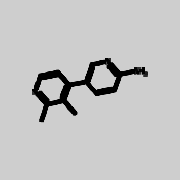 Cc1nccc(-c2ccc(N)nc2)c1C